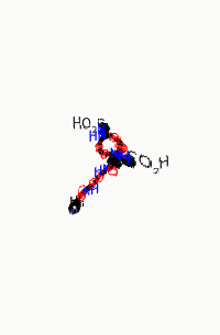 O=C(NCCOCCOCCNC(=O)c1ccc(C(c2cccc(C(=O)O)n2)N2CCOCCOCCC(Nc3cccc(C(=O)O)n3)CCOCCOCC2)cc1)OC[C@@H]1[C@@H]2CC/C=C\CC[C@@H]21